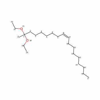 [CH2]C(CCCCCC/C=C\CCCCCCCC)(OCC)OCC